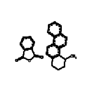 CC1CCCc2ccc3c(ccc4ccccc43)c21.O=C1OC(=O)c2ccccc21